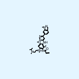 C=CC(=O)Nc1c(N(C)CCN(C)C(C)C)cc(OC)c(Nc2cc(-c3ccc4cnn(C)c4c3)ncn2)c1F